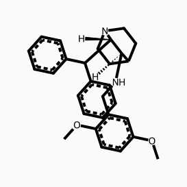 COc1ccc(OC)c(CN[C@@H]2C3CCN(CC3)[C@H]2C(c2ccccc2)c2ccccc2)c1